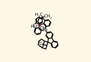 CC1(C)CCC(C)(C)c2c(N(c3ccc4c(c3)C3(c5ccccc5-4)C4CC5CC6CC3C64C5)c3cccc4sc5ccccc5c34)cccc21